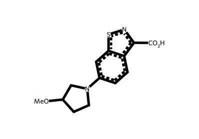 COC1CCN(c2ccc3c(C(=O)O)nsc3c2)C1